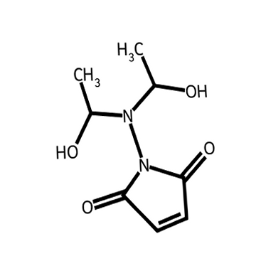 CC(O)N(C(C)O)N1C(=O)C=CC1=O